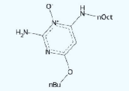 CCCCCCCCNc1cc(OCCCC)nc(N)[n+]1[O-]